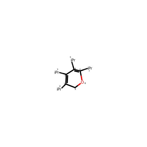 CC(C)C1=C(C(C)C)C(C(C)C)=C(C(C)C)OC1